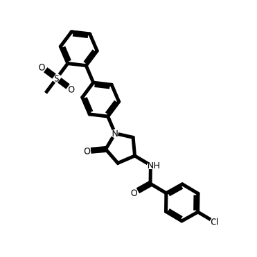 CS(=O)(=O)c1ccccc1-c1ccc(N2CC(NC(=O)c3ccc(Cl)cc3)CC2=O)cc1